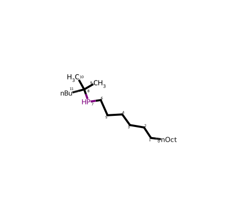 CCCCCCCCCCCCCCPC(C)(C)CCCC